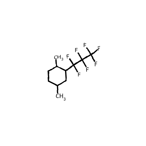 CC1CCC(C)C(C(F)(F)C(F)(F)C(F)(F)F)C1